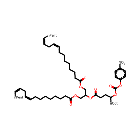 CCCCC/C=C\C/C=C\CCCCCCCC(=O)OCC(COC(=O)CCCCCCC/C=C\C/C=C\CCCCC)OC(=O)CCC(CCCCCCCC)OC(=O)Oc1ccc([N+](=O)[O-])cc1